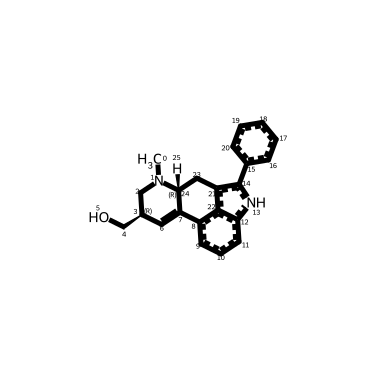 CN1C[C@H](CO)C=C2c3cccc4[nH]c(-c5ccccc5)c(c34)C[C@H]21